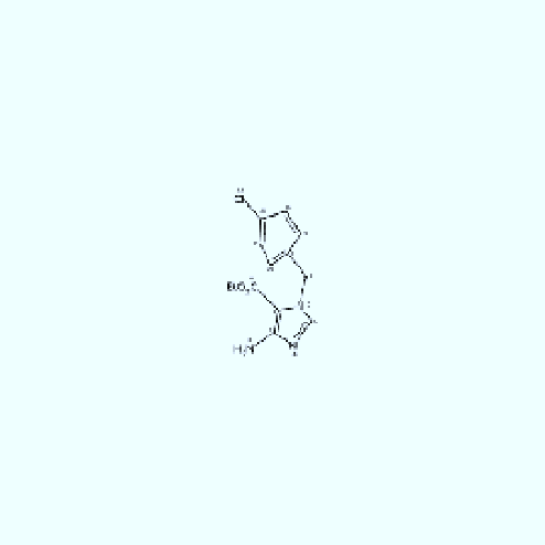 CCOC(=O)c1c(N)ncn1Cc1ccc(Cl)cc1